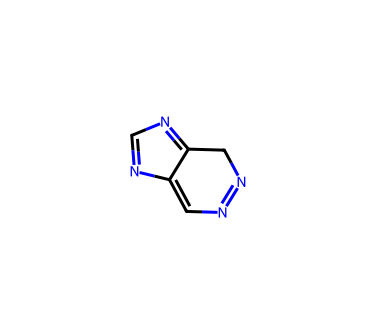 C1=NC2=CN=NCC2=N1